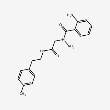 Cc1ccc(CCNC(=O)CN(N)C(=O)c2ccccc2N)cc1